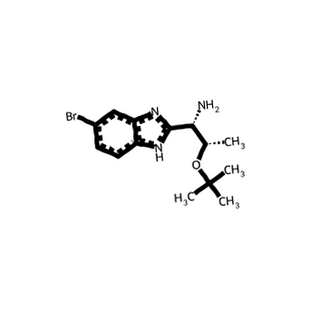 C[C@H](OC(C)(C)C)[C@@H](N)c1nc2cc(Br)ccc2[nH]1